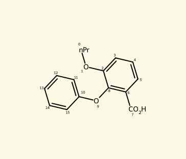 CCCOc1cccc(C(=O)O)c1Oc1ccccc1